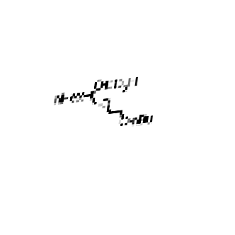 CCCCCCC(COCCOCCCC)OC(=O)O